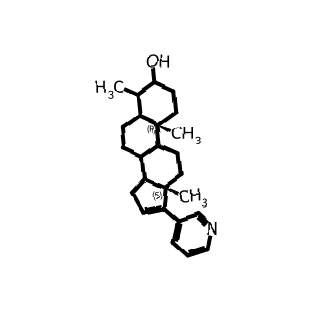 CC1C(O)CC[C@@]2(C)C1CCC1C2CC[C@]2(C)C(c3cccnc3)=CCC12